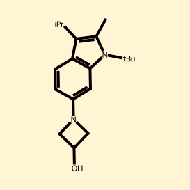 Cc1c(C(C)C)c2ccc(N3CC(O)C3)cc2n1C(C)(C)C